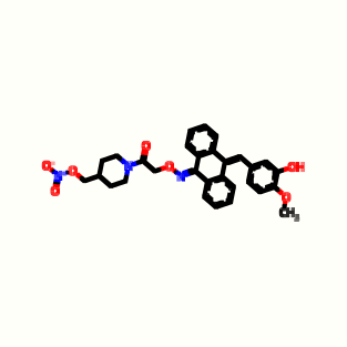 COc1ccc(C=C2c3ccccc3C(=NOCC(=O)N3CCC(CO[N+](=O)[O-])CC3)c3ccccc32)cc1O